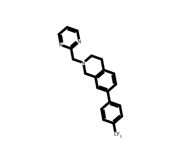 FC(F)(F)c1ccc(-c2ccc3c(c2)CN(Cc2ncccn2)CC3)cc1